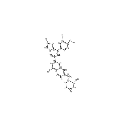 COc1ccc(C(NC(=O)c2cc(F)c3cnc(N[C@H]4CCOC[C@H]4F)nc3c2)c2cnn(C)c2)cc1F